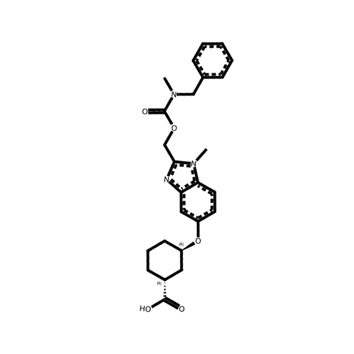 CN(Cc1ccccc1)C(=O)OCc1nc2cc(O[C@@H]3CCC[C@@H](C(=O)O)C3)ccc2n1C